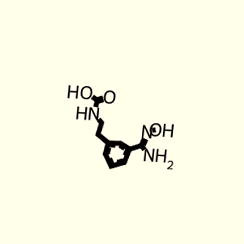 NC(=NO)c1cccc(CCNC(=O)O)c1